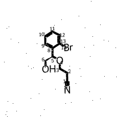 N#CCCO[C@@H](CO)c1ccccc1Br